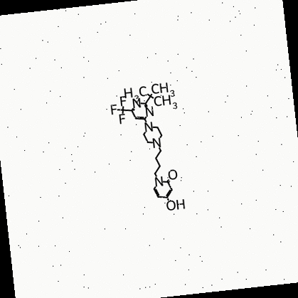 CC(C)(C)c1nc(N2CCN(CCCCn3ccc(O)cc3=O)CC2)cc(C(F)(F)F)n1